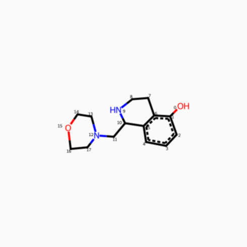 Oc1cccc2c1CCNC2CN1CCOCC1